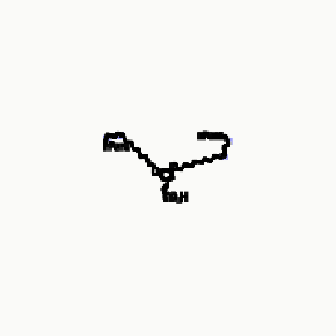 CCCCC/C=C\C/C=C\CCCCCCCCOc1cc(C=CC(=O)O)cc(OCCCCCCCC/C=C\C/C=C\CCCCC)c1